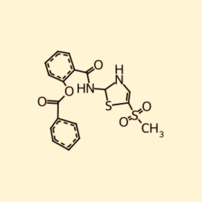 CS(=O)(=O)C1=CNC(NC(=O)c2ccccc2OC(=O)c2ccccc2)S1